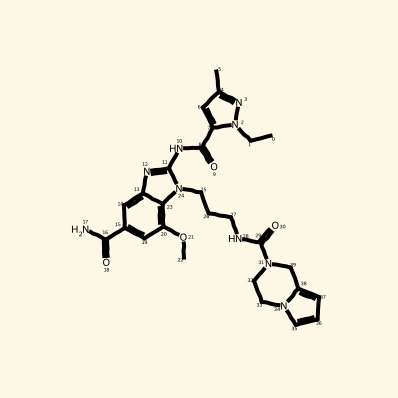 CCn1nc(C)cc1C(=O)Nc1nc2cc(C(N)=O)cc(OC)c2n1CCCNC(=O)N1CCn2cccc2C1